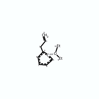 C=CCc1ccccc1.CCOCC